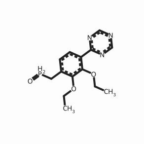 CCOc1c(C[PH2]=O)ccc(-c2ncncn2)c1OCC